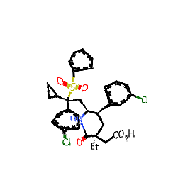 CC[C@@]1(CC(=O)O)C[C@H](c2cccc(Cl)c2)[C@H](C[C@@](c2ccc(Cl)cc2)(C2CC2)S(=O)(=O)c2ccccc2)NC1=O